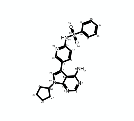 Nc1ncnc2c1c(-c1ccc(NS(=O)(=O)c3ccccc3)nc1)cn2C1CCCC1